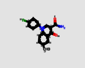 NC(=O)c1cn(-c2ccc(F)cc2)c2ccc(C=O)cc2c1=O